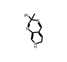 CC(C)C1(C)C=NC2=CNCC=C2C=N1